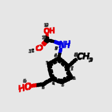 Cc1ccc(CO)cc1NC(=O)O